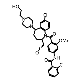 COc1cc(NC(=O)c2ccccc2Cl)ccc1C(=O)N1c2ccc(Cl)cc2C(N2CCN(CCO)CC2)CCC1C=C=O